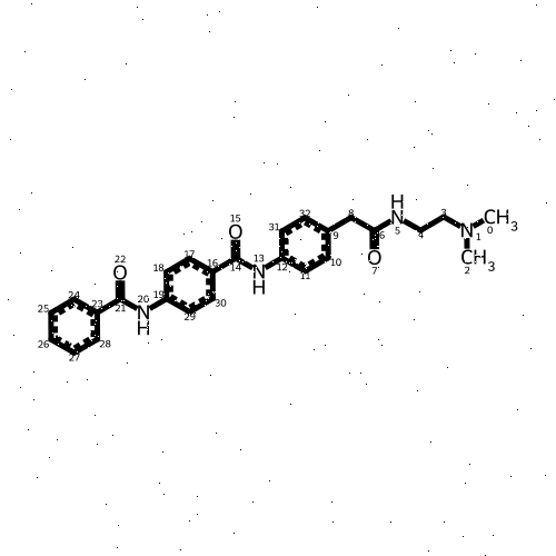 CN(C)CCNC(=O)Cc1ccc(NC(=O)c2ccc(NC(=O)c3ccccc3)cc2)cc1